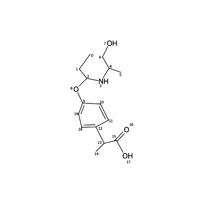 CCC(NC(C)CO)Oc1ccc(C(C)C(=O)O)cc1